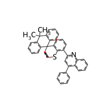 CC1(C)c2ccccc2C2(c3ccccc3Sc3c(-c4cc(-c5ccccc5)c5ccccc5n4)cccc32)c2ccccc21